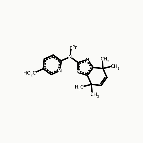 CCCN(c1ccc(C(=O)O)cn1)c1nc2c(s1)C(C)(C)C=CC2(C)C